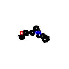 CC(C)[Si](c1ccc2c(c1)C=CC(n1c3ccccc3c3cc(-c4ccc5oc6ccccc6c5c4)ccc31)N2C)(C(C)C)C(C)C